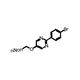 CCCCCCCCCCOc1cnc(-c2ccc(Br)cc2)nc1